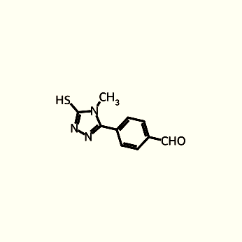 Cn1c(S)nnc1-c1ccc(C=O)cc1